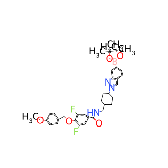 COc1ccc(COc2c(F)cc(C(=O)NCC3CCC(n4cc5ccc(B6OC(C)(C)C(C)(C)O6)cc5n4)CC3)cc2F)cc1